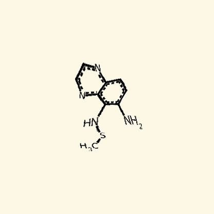 CSNc1c(N)ccc2nccnc12